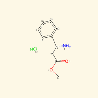 COC(=O)C[C@@H](N)c1ccccc1.Cl